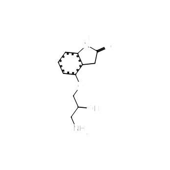 NCC(O)COc1cccc2c1CC(=O)N2